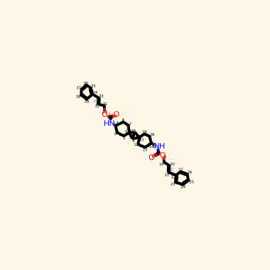 O=C(NC1CCC2(CC1)C1C2C12CCC(NC(=O)OC/C=C/c1ccccc1)CC2)OC/C=C/c1ccccc1